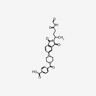 CC(CCC(=O)NC=O)N1C(=O)c2ccc(N3CCN(C(=O)c4ccc(C(=O)O)cc4)CC3)cc2C1=O